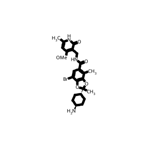 COc1cc(C)[nH]c(=O)c1CNC(=O)c1cc(Br)c2c(c1C)OC(C)([C@H]1CC[C@H](N)CC1)O2